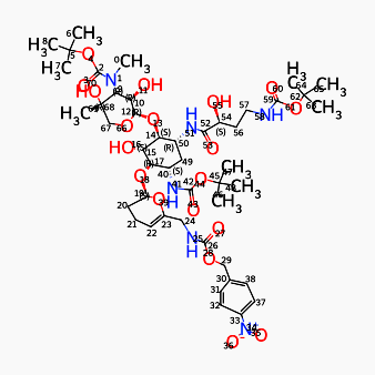 CN(C(=O)OC(C)(C)C)[C@@H]1[C@@H](O)[C@@H](O[C@@H]2[C@@H](O)[C@H](O[C@@H]3CCC=C(CNC(=O)OCc4ccc([N+](=O)[O-])cc4)O3)[C@@H](NC(=O)OC(C)(C)C)C[C@H]2NC(=O)[C@@H](O)CCNC(=O)OC(C)(C)C)OC[C@]1(C)O